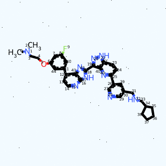 CN(C)CCOc1cc(F)cc(-c2ccnc3[nH]c(-c4n[nH]c5ccc(-c6cncc(CNCC7CCCC7)c6)nc45)nc23)c1